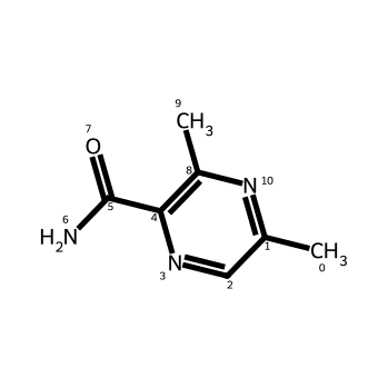 Cc1cnc(C(N)=O)c(C)n1